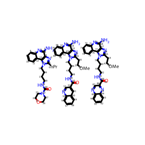 CCCc1nc2c(N)nc3ccccc3c2n1CCCCNC(=O)N1CCOCC1.COCCc1nc2c(N)nc3ccccc3c2n1CCCCNC(=O)c1cnc2ccccc2c1.COCCc1nc2c(N)nc3ccccc3c2n1CCCCNC(=O)c1cnc2ccccc2n1